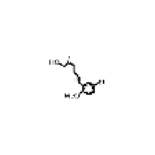 CCc1ccc(OC)c(/C=C/CC[C@H](C)CO)c1